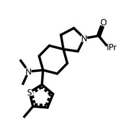 Cc1ccc(C2(N(C)C)CCC3(CCN(C(=O)C(C)C)C3)CC2)s1